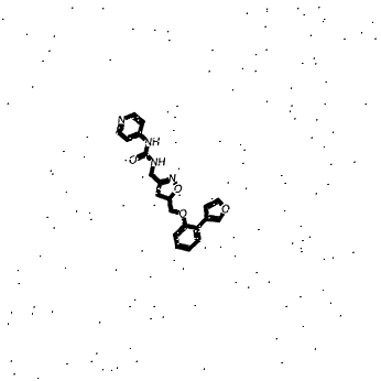 O=C(NCC1=NOC(COc2ccccc2-c2ccoc2)C1)Nc1ccncc1